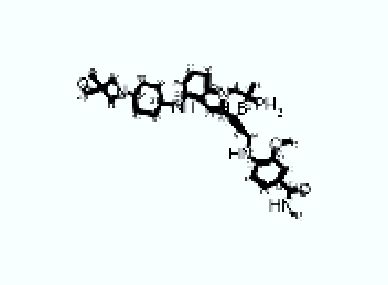 BC(C)(P)Cn1c(C#CCNc2ccc(C(=O)NC)cc2OC)cc2c1=CCCC=2NC1CCC(N2CC3(COC3)C2)CC1